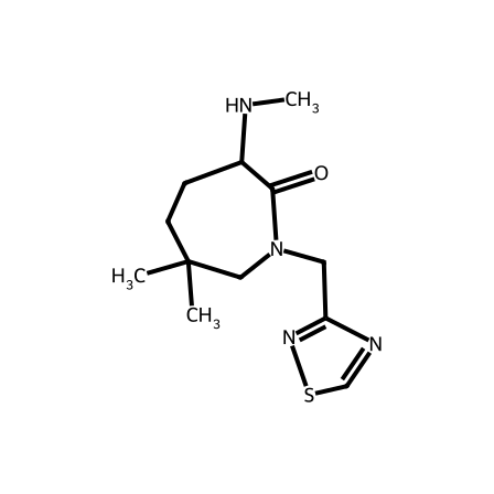 CNC1CCC(C)(C)CN(Cc2ncsn2)C1=O